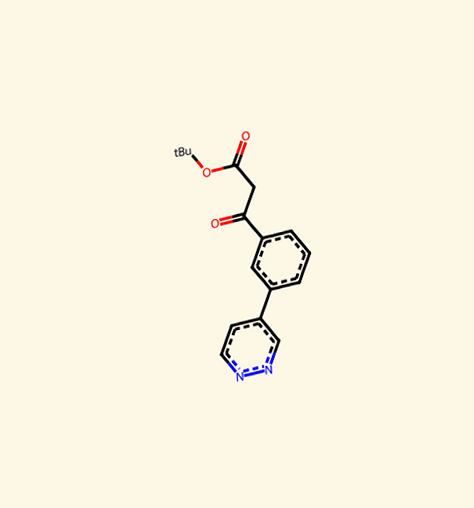 CC(C)(C)OC(=O)CC(=O)c1cccc(-c2ccnnc2)c1